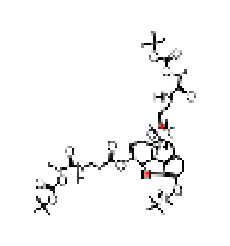 C[C@H](OC(=O)OC(C)(C)C)C(=O)NCCC(=O)OC1=CC[C@@]2(OC(=O)CCNC(=O)[C@H](C)OC(=O)OC(C)(C)C)[C@H]3Cc4ccc(O[Si](C)(C)C(C)(C)C)c5c4[C@@]2(CCN3C)[C@H]1O5